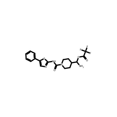 NC(OC(=O)C(F)(F)F)C1CCN(C(=O)Nc2ncc(-c3ccccc3)s2)CC1